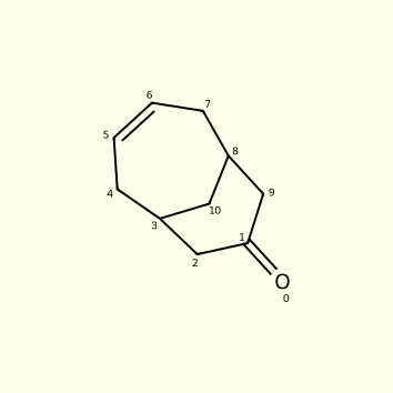 O=C1CC2CC=CCC(C1)C2